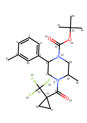 Cc1cccc(C2CN(C(=O)C3(C(F)(F)F)CC3)C(C)CN2C(=O)OC(C)(C)C)c1